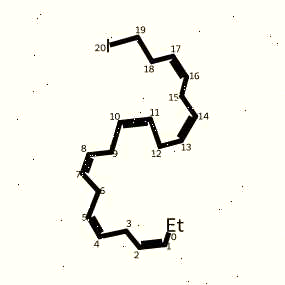 CC/C=C\C/C=C\C/C=C\C/C=C\C/C=C\C/C=C\CCI